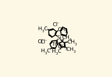 CC1=C(C)C(C)([Si](c2ccccc2)(c2ccc(C)cc2C)c2ccc(C)cc2C)[C]([Ti+3])=C1C.[Cl-].[Cl-].[Cl-]